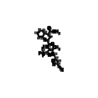 Cc1c(NC(=O)c2cc(C(N)=O)c3ccccc3n2)c(C(F)(F)F)nn1Cc1cc(C#N)no1